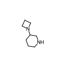 [CH]1CN(C2CCCNC2)C1